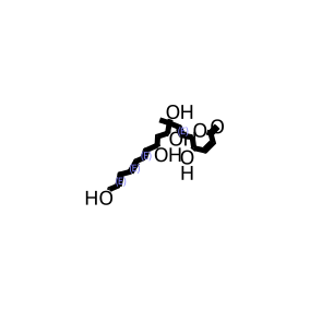 CC(O)(/C=C/C1OC(=O)C=CC1O)C(O)CC(O)/C=C/C=C/C=C/CO